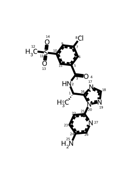 C[C@H](NC(=O)c1cc(Cl)cc(S(C)(=O)=O)c1)c1ncnn1-c1ccc(N)cn1